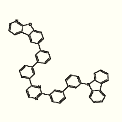 c1cc(-c2cccc(-c3ccnc(-c4cccc(-c5cccc(-n6c7ccccc7c7ccccc76)c5)c4)n3)c2)cc(-c2ccc3oc4ncccc4c3c2)c1